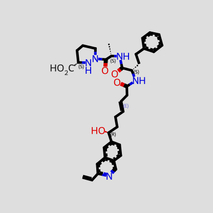 C=Cc1cc2cc([C@H](O)CC/C=C/CC(=O)N[C@@H](CCc3ccccc3)C(=O)N[C@@H](C)C(=O)N3CCC[C@@H](C(=O)O)N3)ccc2cn1